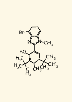 CC1C(C(C)(C)C)=C(O)C(c2nc3c(n2C)=CCCC=3Br)=CC1C(C)(C)C